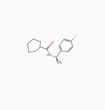 C[C@@H](NC(=O)C1CCCCC1)c1ccc(F)cc1